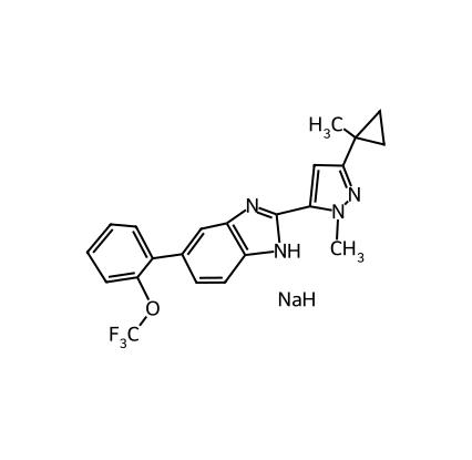 Cn1nc(C2(C)CC2)cc1-c1nc2cc(-c3ccccc3OC(F)(F)F)ccc2[nH]1.[NaH]